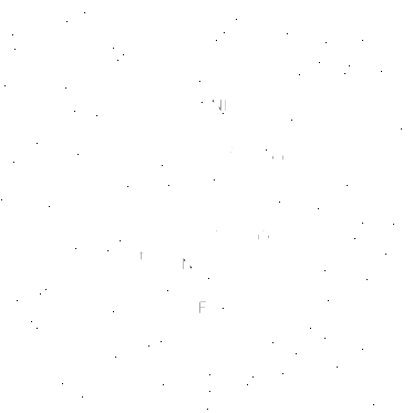 CCN(CC)C(=O)OC(N)=O